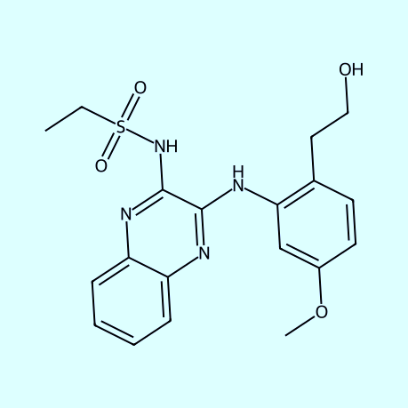 CCS(=O)(=O)Nc1nc2ccccc2nc1Nc1cc(OC)ccc1CCO